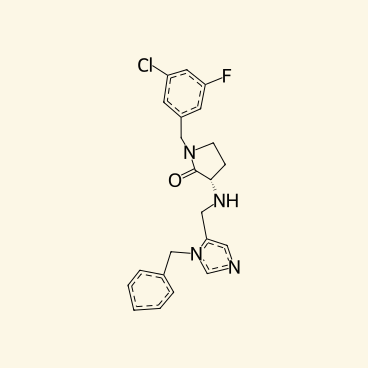 O=C1[C@@H](NCc2cncn2Cc2ccccc2)CCN1Cc1cc(F)cc(Cl)c1